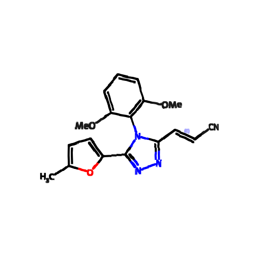 COc1cccc(OC)c1-n1c(/C=C/C#N)nnc1-c1ccc(C)o1